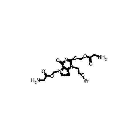 CC(C)OCCn1c(SCOC(=O)CN)nc(=O)c2c1ccn2COC(=O)CN